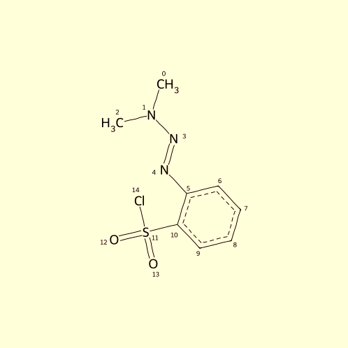 CN(C)N=Nc1ccccc1S(=O)(=O)Cl